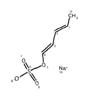 C/C=C/C=C/OS(=O)(=O)[O-].[Na+]